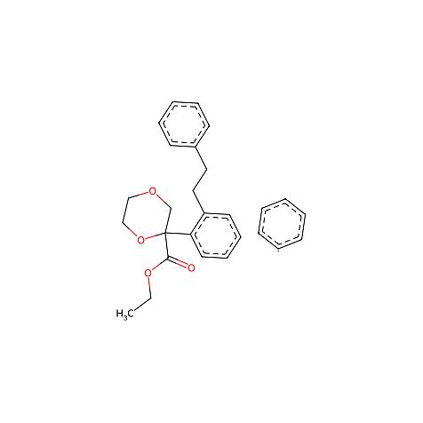 CCOC(=O)C1(c2ccccc2CCc2ccccc2)COCCO1.[c]1ccccc1